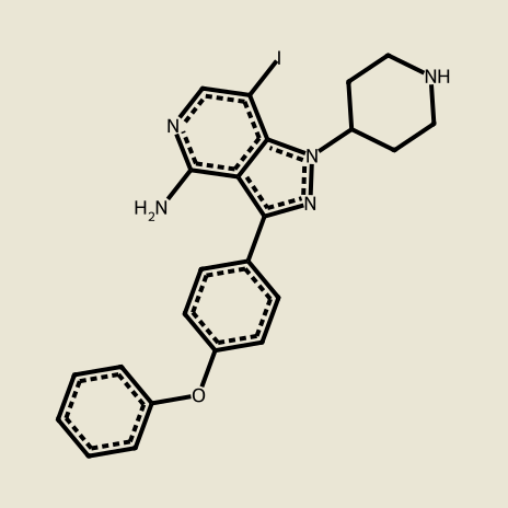 Nc1ncc(I)c2c1c(-c1ccc(Oc3ccccc3)cc1)nn2C1CCNCC1